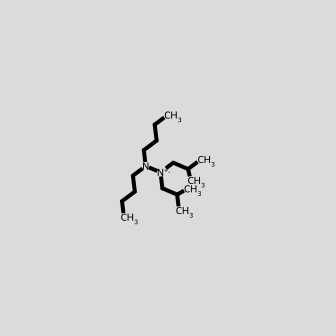 CCCCN(CCCC)[N+](CC(C)C)CC(C)C